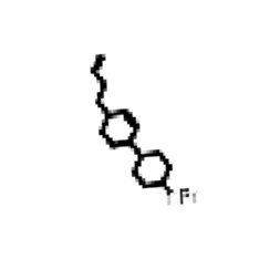 C=CCCC1C=CC(C2CCC(CCC)CC2)CC1